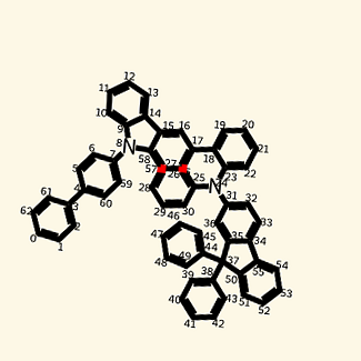 c1ccc(-c2ccc(-n3c4ccccc4c4cc(-c5ccccc5N(c5ccccc5)c5ccc6c(c5)C(c5ccccc5)(c5ccccc5)c5ccccc5-6)ccc43)cc2)cc1